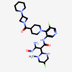 CN1CC(F)CNC1C(C(=O)Nc1cncc(F)c1N1CCC(C(=O)N2CC(N3CCCCC3)C2)CC1)C(N)N=O